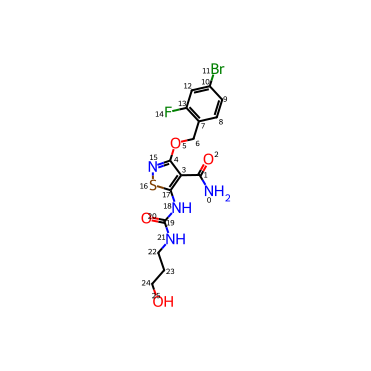 NC(=O)c1c(OCc2ccc(Br)cc2F)nsc1NC(=O)NCCCO